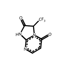 O=C1Nc2nccc(=O)n2C1C(F)(F)F